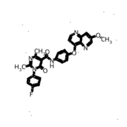 COc1cnc2c(Oc3ccc(NC(=O)c4c(C)nc(C)n(-c5ccc(F)cc5)c4=O)cc3)ccnc2c1